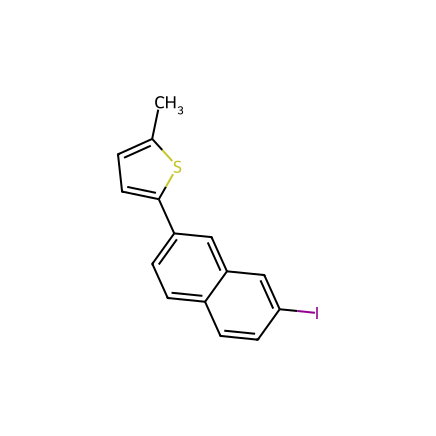 Cc1ccc(-c2ccc3ccc(I)cc3c2)s1